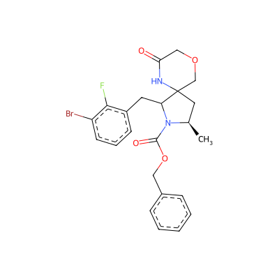 C[C@@H]1CC2(COCC(=O)N2)C(Cc2cccc(Br)c2F)N1C(=O)OCc1ccccc1